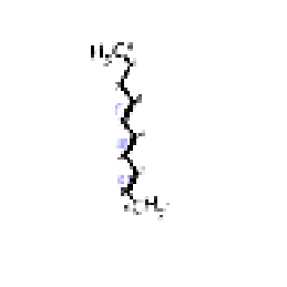 [CH2]/C=C/C=C/C=C/CCC